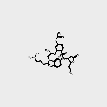 CCOC1OC(=O)CC1NS(=O)(=O)c1ccc(NC(C)=O)cc1O[C@H](C)Cn1c(SCCN(C)C)nc2ccccc21